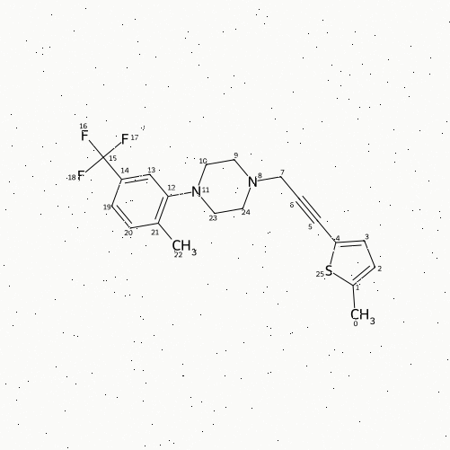 Cc1ccc(C#CCN2CCN(c3cc(C(F)(F)F)ccc3C)CC2)s1